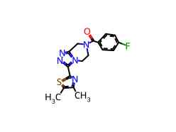 Cc1nc(-c2nnc3n2CCN(C(=O)c2ccc(F)cc2)C3)sc1C